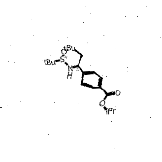 CC(C)OC(=O)c1ccc([C@H](CC(C)(C)C)N[S+]([O-])C(C)(C)C)cc1